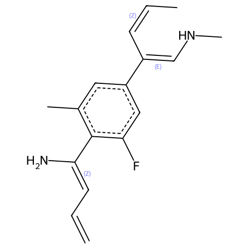 C=C/C=C(\N)c1c(C)cc(C(/C=C\C)=C/NC)cc1F